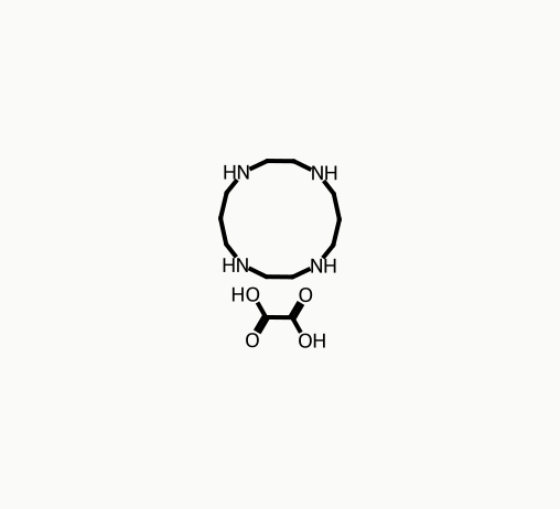 C1CNCCNCCCNCCNC1.O=C(O)C(=O)O